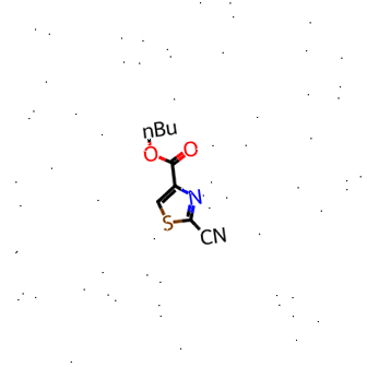 CCCCOC(=O)c1csc(C#N)n1